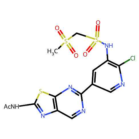 CC(=O)Nc1nc2cnc(-c3cnc(Cl)c(NS(=O)(=O)CS(C)(=O)=O)c3)nc2s1